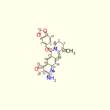 C[C@@H]1CC[C@@H](c2ccc3c(c2)OCO3)N(C(=O)c2cc3c4c(c(N)nc3cc2F)COC4)C1